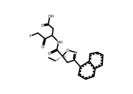 CC[C@@]1(C(=O)NC(CC(=O)O)C(=O)CF)CC(c2cccc3ccccc23)=NO1